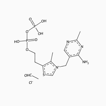 CC=O.Cc1ncc(C[n+]2csc(CCOP(=O)(O)OP(=O)(O)O)c2C)c(N)n1.[Cl-]